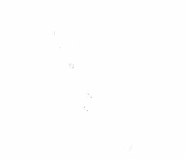 Cc1cc(/N=N/c2ccn(C(=O)Oc3ccccc3F)c2)cc(C)c1O